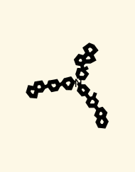 CC1CC(c2ccc3ccccc3c2)=CC=C1c1ccc(N(C2=CCC(C)(c3cccc4c3ccc3ccccc34)C=C2)c2ccc(-c3ccc(-c4ccc5ccccc5c4)cc3)cc2)cc1